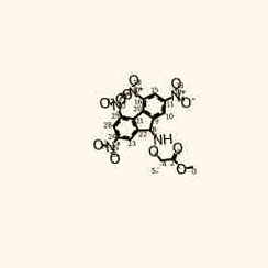 COC(=O)[C@H](C)ONC1c2cc([N+](=O)[O-])cc([N+](=O)[O-])c2-c2c1cc([N+](=O)[O-])cc2[N+](=O)[O-]